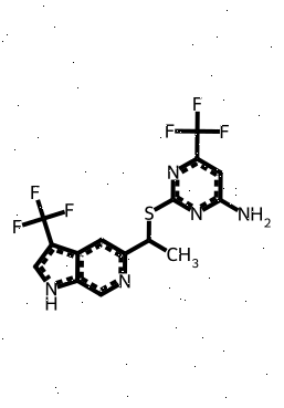 CC(Sc1nc(N)cc(C(F)(F)F)n1)c1cc2c(C(F)(F)F)c[nH]c2cn1